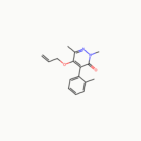 C=CCOc1c(C)nn(C)c(=O)c1-c1ccccc1C